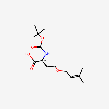 CC(C)=CCOCC[C@H](NC(=O)OC(C)(C)C)C(=O)O